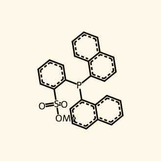 COS(=O)(=O)c1ccccc1P(c1cccc2ccccc12)c1cccc2ccccc12